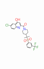 CC(C)(C1CCN(C(=O)c2cc(O)c3cc(Cl)ccc3n2)CC1)S(=O)(=O)c1cccc(C(F)(F)F)c1